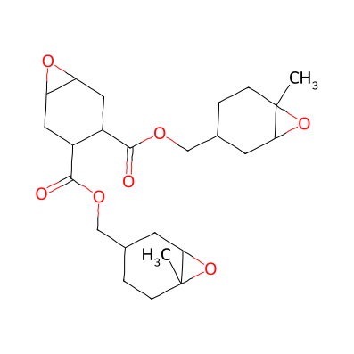 CC12CCC(COC(=O)C3CC4OC4CC3C(=O)OCC3CCC4(C)OC4C3)CC1O2